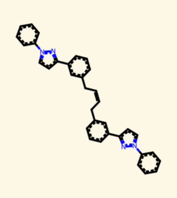 C(=C/Cc1cccc(-c2ccn(-c3ccccc3)n2)c1)/Cc1cccc(-c2ccn(-c3ccccc3)n2)c1